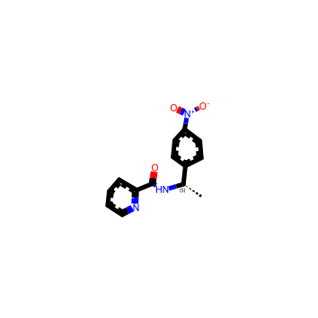 C[C@H](NC(=O)c1ccccn1)c1ccc([N+](=O)[O-])cc1